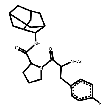 CC(=O)NC(Cc1ccc(F)cc1)C(=O)N1CCCC1C(=O)NC1C2CC3CC(C2)CC1C3